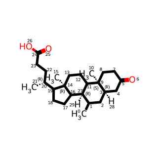 CC1C[C@@H]2CC(=O)CC[C@]2(C)C2CC[C@@]3(C)C(CCC3[C@H](C)CCC(=O)O)[C@H]12